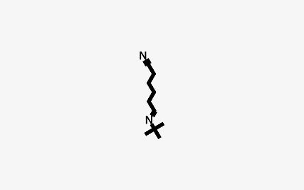 CC(C)(C)N=CCCCCC#N